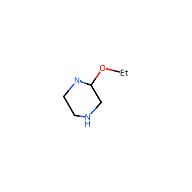 CCOC1CNCC[N]1